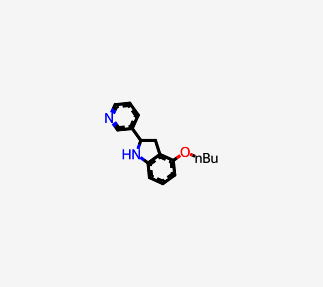 CCCCOc1cccc2c1CC(c1cccnc1)N2